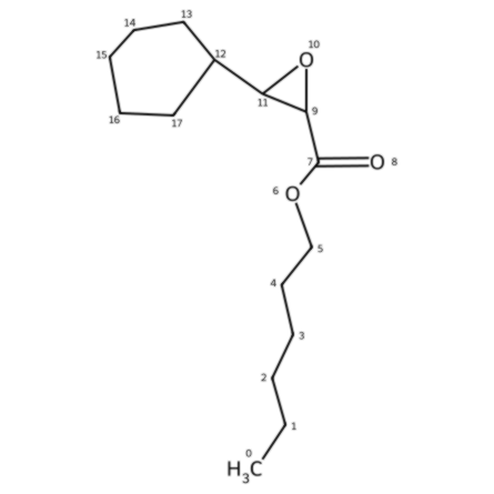 CCCCCCOC(=O)C1OC1C1CCCCC1